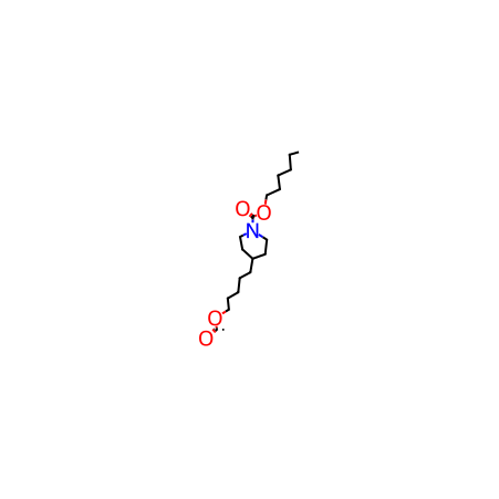 CCCCCCOC(=O)N1CCC(CCCCCO[C]=O)CC1